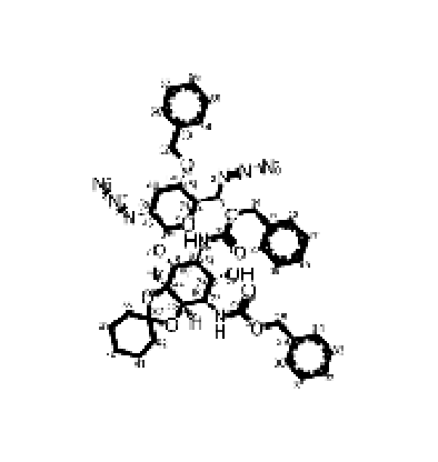 [N-]=[N+]=NC[C@H]1O[C@H](O[C@@H]2[C@@H](NC(=O)OCc3ccccc3)[C@H](O)[C@@H](NC(=O)OCc3ccccc3)[C@@H]3OC4(CCCCC4)O[C@@H]23)[C@H](N=[N+]=[N-])C[C@@H]1OCc1ccccc1